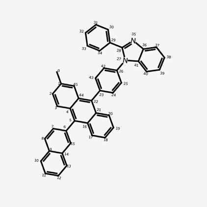 Cc1ccc2c(-c3ccc4ccccc4c3)c3ccccc3c(-c3ccc(-n4c(-c5ccccc5)nc5ccccc54)cc3)c2c1